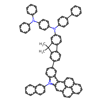 CC1(C)c2cc(-c3ccc4c(c3)c3c5ccc6cccc7ccc(cc3n4-c3ccc4ccccc4c3)c5c76)ccc2-c2ccc(N(c3ccc(-c4ccccc4)cc3)c3ccc(N(c4ccccc4)c4ccccc4)cc3)cc21